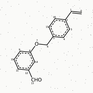 C=Cc1ccc(COc2cccc(C=O)c2)cc1